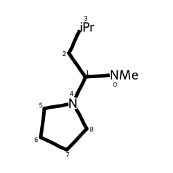 CNC(CC(C)C)N1CCCC1